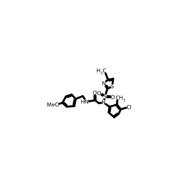 COc1ccc(CNC(=O)CN(c2cccc(Cl)c2C)S(=O)(=O)c2nc(C)cs2)cc1